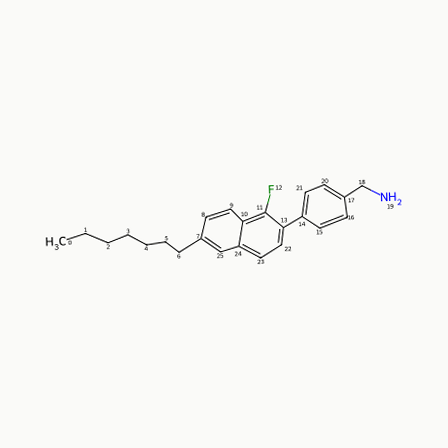 CCCCCCCc1ccc2c(F)c(-c3ccc(CN)cc3)ccc2c1